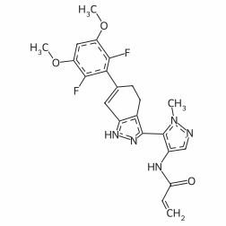 C=CC(=O)Nc1cnn(C)c1-c1n[nH]c2c1CCC(c1c(F)c(OC)cc(OC)c1F)=C2